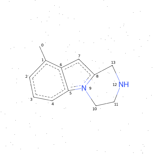 Cc1cccc2c1cc1n2CCNC1